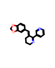 C(=C1CCCN=C1c1cccnc1)c1ccc2c(c1)OCO2